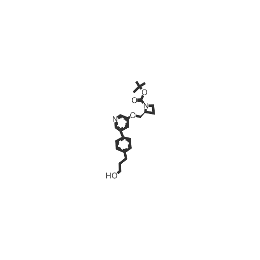 CC(C)(C)OC(=O)N1CC[C@H]1COc1cncc(-c2ccc(CCCO)cc2)c1